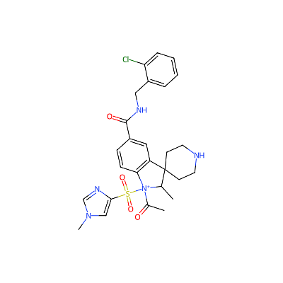 CC(=O)[N+]1(S(=O)(=O)c2cn(C)cn2)c2ccc(C(=O)NCc3ccccc3Cl)cc2C2(CCNCC2)C1C